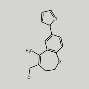 CC1=C(CCl)CCOc2ccc(-n3cccn3)cc21